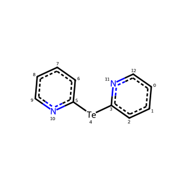 c1ccc([Te]c2ccccn2)nc1